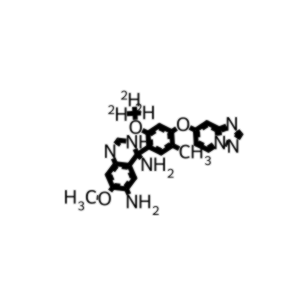 [2H]C([2H])([2H])Oc1cc(Oc2ccn3ncnc3c2)c(C)cc1C1(N)NC=Nc2cc(OC)c(N)cc21